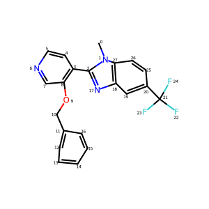 Cn1c(-c2ccncc2OCc2ccccc2)nc2cc(C(F)(F)F)ccc21